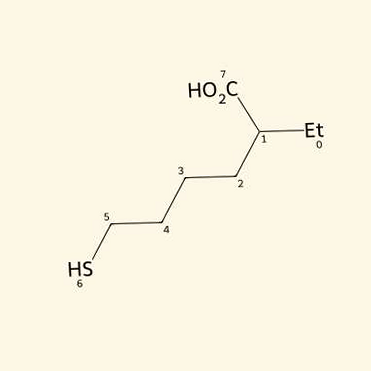 CCC(CCCCS)C(=O)O